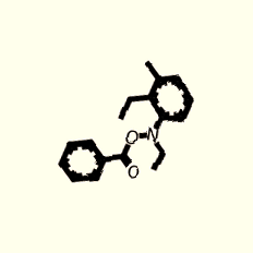 CCc1c(C)cccc1N(CC)OC(=O)c1ccccc1